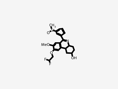 COc1cc2c(cc1OCC(F)F)C1CC(O)CCC1N=C2c1cccc([S+](C)[O-])c1